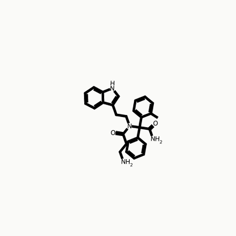 Cc1ccccc1C(C(N)=O)(c1ccccc1)N(CCc1c[nH]c2ccccc12)C(=O)CCN